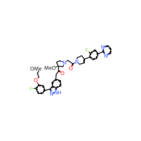 COCCOc1cc(-c2n[nH]c3ccc(CC(=O)[C@]4(OC)CCN(CC(=O)N5CC=C(c6ccc(-c7ncccn7)cc6F)CC5)C4)cc23)ccc1F